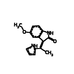 COc1ccc2c(c1)/C(=C(/C)c1ccc[nH]1)C(=O)N2